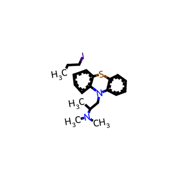 CC(CN1c2ccccc2Sc2ccccc21)N(C)C.CCCI